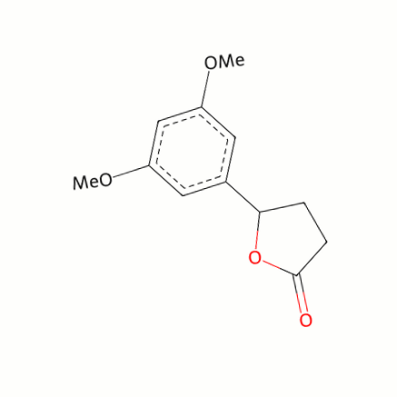 COc1cc(OC)cc(C2CCC(=O)O2)c1